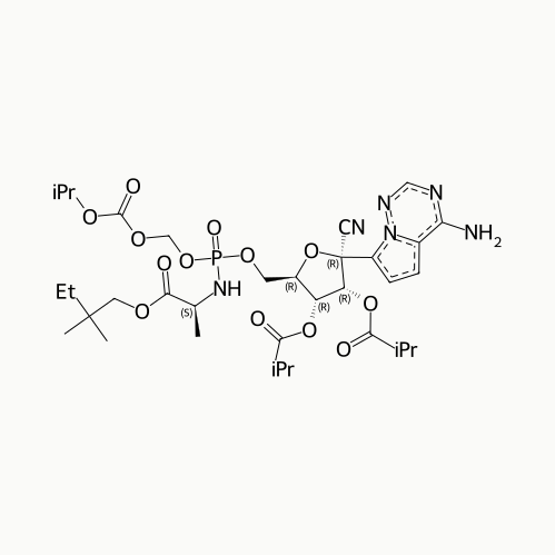 CCC(C)(C)COC(=O)[C@H](C)NP(=O)(OCOC(=O)OC(C)C)OC[C@H]1O[C@@](C#N)(c2ccc3c(N)ncnn23)[C@H](OC(=O)C(C)C)[C@@H]1OC(=O)C(C)C